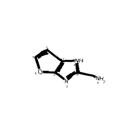 Nc1nc2occc2[nH]1